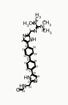 CN(C)C(=NCc1ncc(-c2ccc(-c3ccc(-c4cnc(CNC=O)[nH]4)cc3)cc2)[nH]1)N(C)C